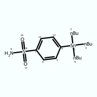 CCC[CH2][Sn]([CH2]CCC)([CH2]CCC)[c]1ccc(S(N)(=O)=O)cc1